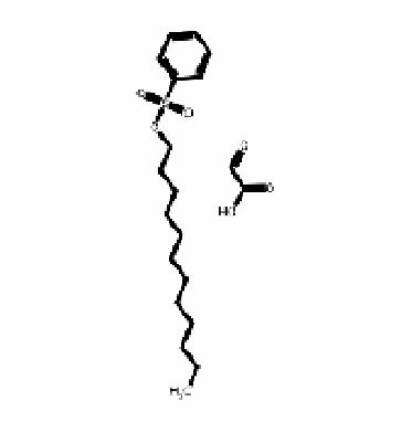 CCCCCCCCCCCCOS(=O)(=O)c1ccccc1.O=CC(=O)O